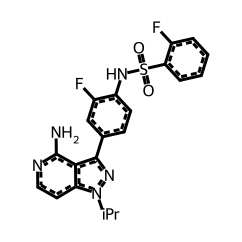 CC(C)n1nc(-c2ccc(NS(=O)(=O)c3ccccc3F)c(F)c2)c2c(N)nccc21